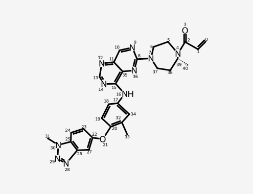 C=CC(=O)N1CCN(c2ncc3ncnc(Nc4ccc(Oc5ccc6c(c5)nnn6C)c(C)c4)c3n2)CC[C@H]1C